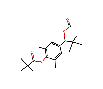 Cc1cc(C(OC=O)C(C)(C)C)cc(C)c1OC(=O)C(C)(C)C